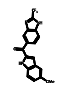 COc1ccc2[nH]c(C(=O)c3ccc4[nH]c(C(F)(F)F)nc4c3)cc2c1